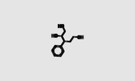 OCCC(c1ccccc1)C(O)CO